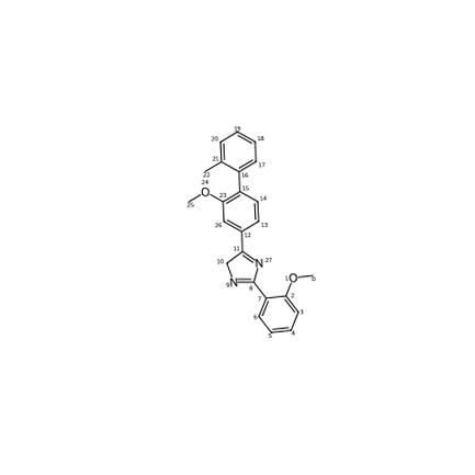 COc1ccccc1C1=NCC(c2ccc(-c3ccccc3C)c(OC)c2)=N1